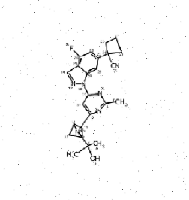 Cc1nc(N2CC3(C(C)(C)O)CC2C3)cc(-n2ncc3c(F)cc(C4(C#N)CCC4)cc32)n1